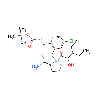 CCC(CC)C(O)C(=O)[N+]1(Cc2cc(Cl)ccc2CNC(=O)OC(C)(C)C)CCC[C@H]1C(N)=O